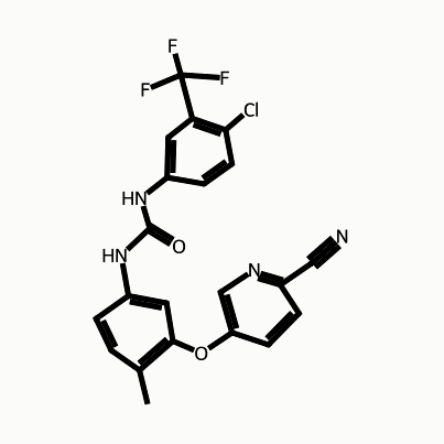 Cc1ccc(NC(=O)Nc2ccc(Cl)c(C(F)(F)F)c2)cc1Oc1ccc(C#N)nc1